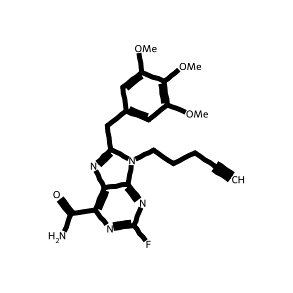 C#CCCCn1c(Cc2cc(OC)c(OC)c(OC)c2)nc2c(C(N)=O)nc(F)nc21